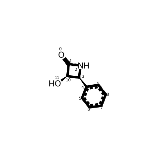 O=C1N[C@@H](c2ccccc2)[C@H]1O